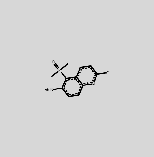 CNc1ccc2nc(Cl)ccc2c1P(C)(C)=O